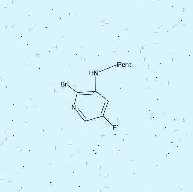 CCCC(C)Nc1cc(F)cnc1Br